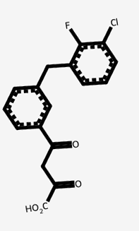 O=C(O)C(=O)CC(=O)c1cccc(Cc2cccc(Cl)c2F)c1